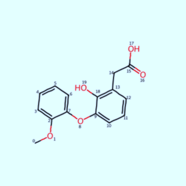 COc1ccccc1Oc1cccc(CC(=O)O)c1O